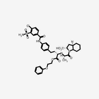 C[C@H](N[C@@H](CCc1ccc(NC(=O)c2ccc(Cl)c(S(N)(=O)=O)c2)cc1)C(=O)OCCOc1ccccc1)C(=O)N1C2CCCC[C@@H]2C[C@H]1C(=O)O